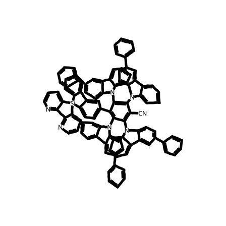 N#Cc1c(-n2c3ccccc3c3cc(-c4ccccc4)ccc32)c(-n2c3ccccc3c3cc(-c4ccccc4)ccc32)c(-c2ccc3c(c2)-c2ccccc2[Si]32c3cccnc3-c3ncccc32)c(-n2c3ccccc3c3cc(-c4ccccc4)ccc32)c1-n1c2ccccc2c2cc(-c3ccccc3)ccc21